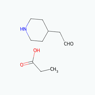 CCC(=O)O.O=CCC1CCNCC1